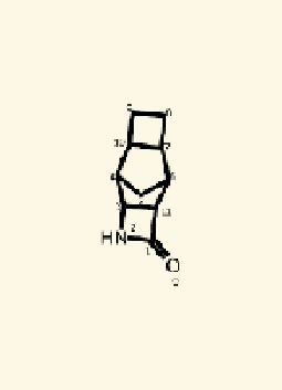 O=C1NC2C3CC(C4CCC43)C12